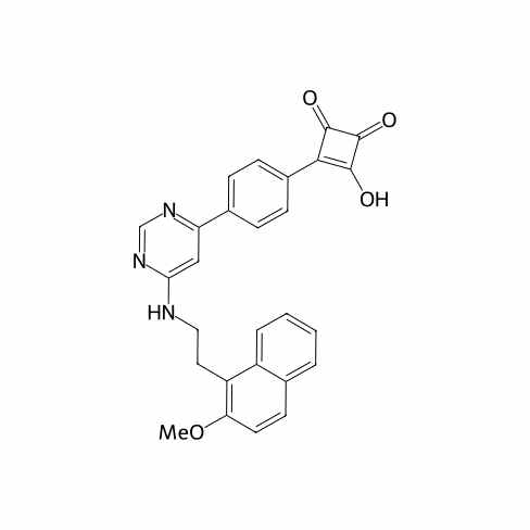 COc1ccc2ccccc2c1CCNc1cc(-c2ccc(-c3c(O)c(=O)c3=O)cc2)ncn1